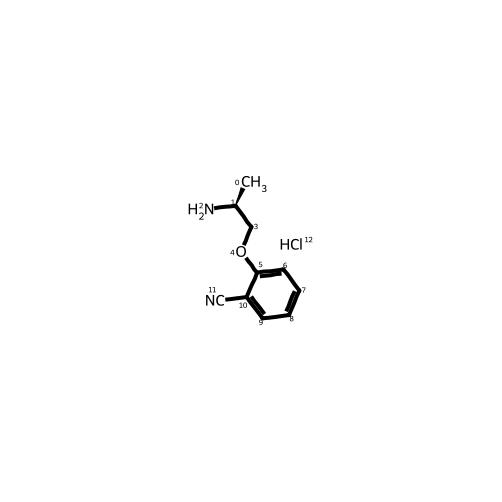 C[C@H](N)COc1ccccc1C#N.Cl